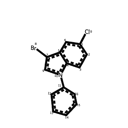 Clc1ccc2c(c1)c(Br)cn2-c1ccccc1